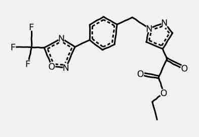 CCOC(=O)C(=O)c1cnn(Cc2ccc(-c3noc(C(F)(F)F)n3)cc2)c1